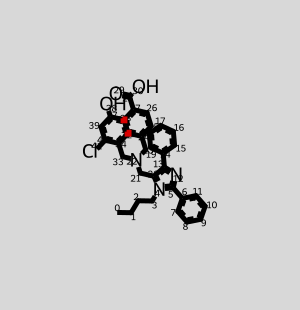 CCCCn1c(-c2ccccc2)nc(-c2ccccc2)c1CN(Cc1ccc(C(=O)O)cc1)Cc1ccc(O)cc1Cl